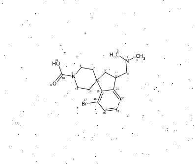 CN(C)CC1CC2(CCN(C(=O)O)CC2)c2c(Br)cccc21